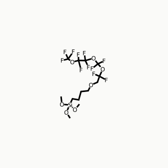 CO[Si](CCCCOCC(F)(F)OC(F)(F)OC(F)(F)C(F)(F)OC(F)(F)F)(OC)OC